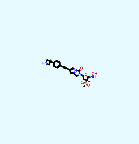 C[C@@](CCN1Cc2cc(C#Cc3ccc(C4(F)CNC4)cc3)cn2C1=O)(C(=O)NO)S(C)(=O)=O